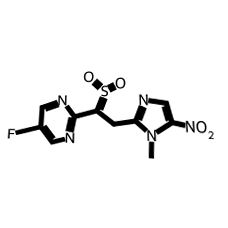 Cn1c([N+](=O)[O-])cnc1CC(c1ncc(F)cn1)=S(=O)=O